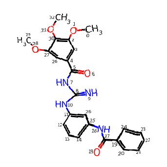 COc1cc(C(=O)NC(=N)Nc2cccc(NC(=O)c3ccccc3)c2)cc(OC)c1OC